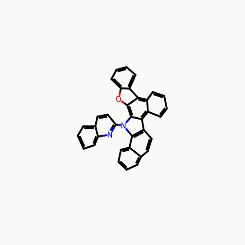 c1ccc2nc(-n3c4c5ccccc5ccc4c4c5ccccc5c5c6ccccc6oc5c43)ccc2c1